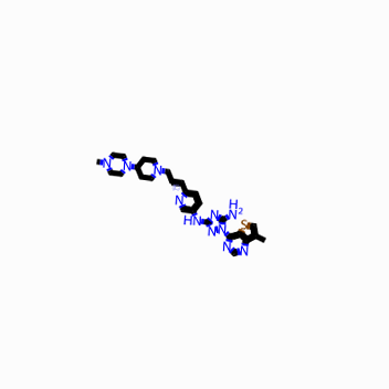 Cc1csc2c(-n3nc(Nc4ccc(/C=C/CN5CCC(N6CCN(C)CC6)CC5)nc4)nc3N)ncnc12